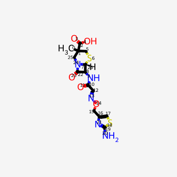 CC1(C(=O)O)CS[C@@H]2C(NC(=O)C=NOCc3csc(N)n3)C(=O)N2C1